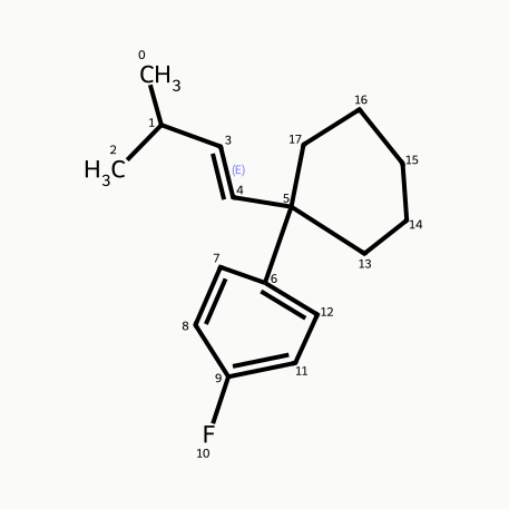 CC(C)/C=C/C1(c2ccc(F)cc2)CCCCC1